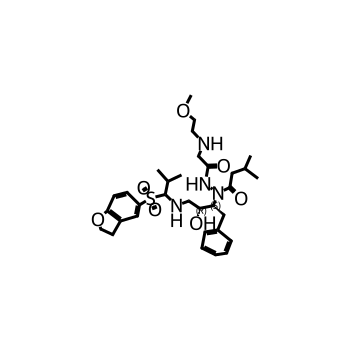 COCCNCC(=O)NN(C(=O)CC(C)C)[C@@H](Cc1ccccc1)[C@H](O)CNC(C(C)C)S(=O)(=O)c1ccc2c(c1)CCO2